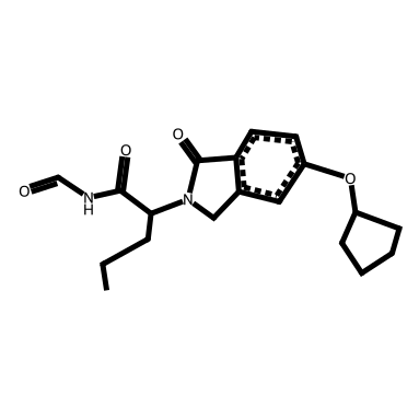 CCCC(C(=O)NC=O)N1Cc2cc(OC3CCCC3)ccc2C1=O